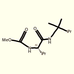 COC(=O)N[C@H](C(=O)NC(C)(C)C(C)C)C(C)C